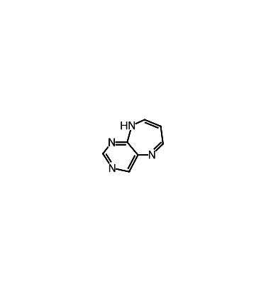 C1=CNc2ncncc2N=C1